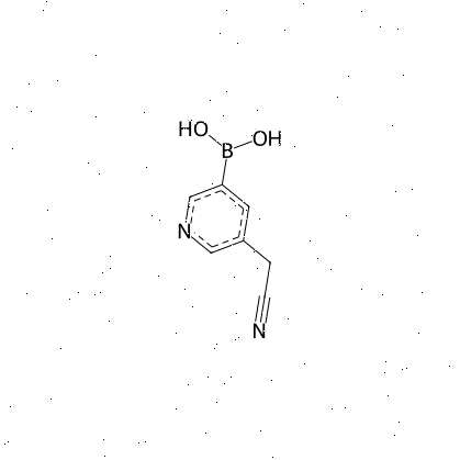 N#CCc1cncc(B(O)O)c1